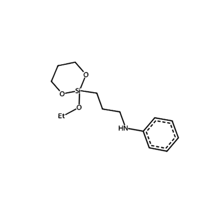 CCO[Si]1(CCCNc2ccccc2)OCCCO1